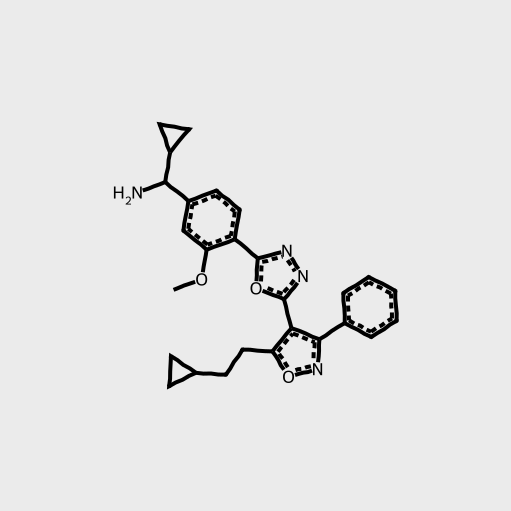 COc1cc(C(N)C2CC2)ccc1-c1nnc(-c2c(-c3ccccc3)noc2CCC2CC2)o1